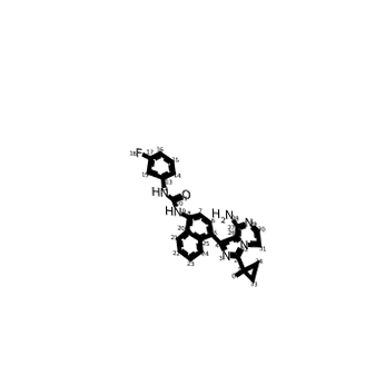 CC1(c2nc(-c3ccc(NC(=O)Nc4cccc(F)c4)c4ccccc34)c3c(N)nccn23)CC1